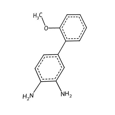 COc1ccccc1-c1ccc(N)c(N)c1